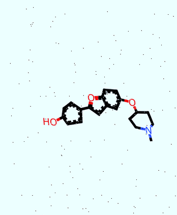 CN1CCC(Oc2ccc3oc(-c4ccc(O)cc4)cc3c2)CC1